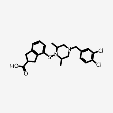 CC1CN(Cc2ccc(Cl)c(Cl)c2)CC(C)N1Sc1cccc2c1CC(C(=O)O)C2